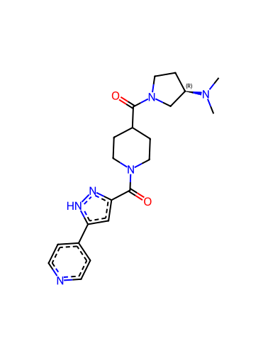 CN(C)[C@@H]1CCN(C(=O)C2CCN(C(=O)c3cc(-c4ccncc4)[nH]n3)CC2)C1